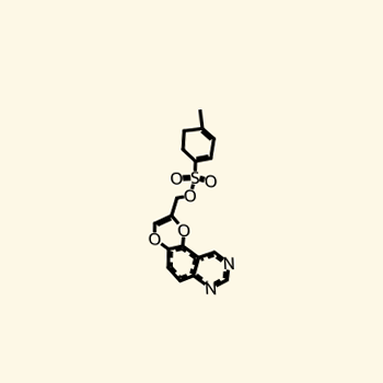 CC1=CC=C(S(=O)(=O)OCC2=COc3ccc4ncncc4c3O2)CC1